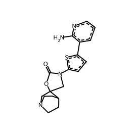 Nc1ncccc1-c1ccc(N2CC3(CN4CCC3CC4)OC2=O)s1